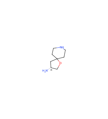 N[C@H]1COC2(CCNCC2)C1